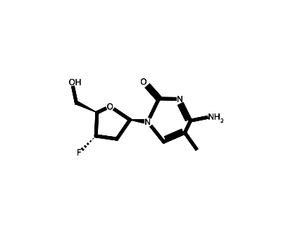 Cc1cn([C@H]2C[C@H](F)[C@@H](CO)O2)c(=O)nc1N